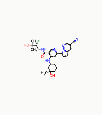 CC1(O)CCCC(Nc2cc(-c3ccc4cc(C#N)cnn34)ncc2C(=O)NC[C@@H](F)C(C)(C)O)C1